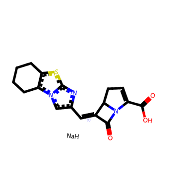 O=C(O)C1=CCC2/C(=C\c3cn4c5c(sc4n3)CCCC5)C(=O)N12.[NaH]